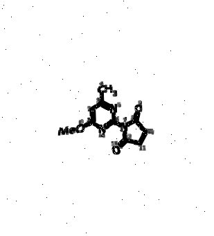 COc1cc(C)nc(N2C(=O)CCC2=O)n1